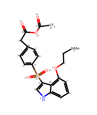 CNCCOc1cccc2[nH]cc(S(=O)(=O)c3ccc(CC(=O)OC(=O)C(F)(F)F)cc3)c12